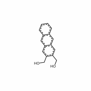 OCc1cc2cc3ccccc3cc2cc1CO